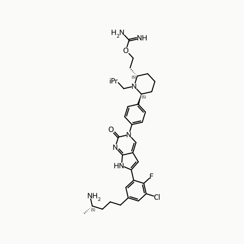 CC(C)CN1[C@H](CCOC(=N)N)CCC[C@H]1c1ccc(-n2cc3cc(-c4cc(CCC[C@H](C)N)cc(Cl)c4F)[nH]c3nc2=O)cc1